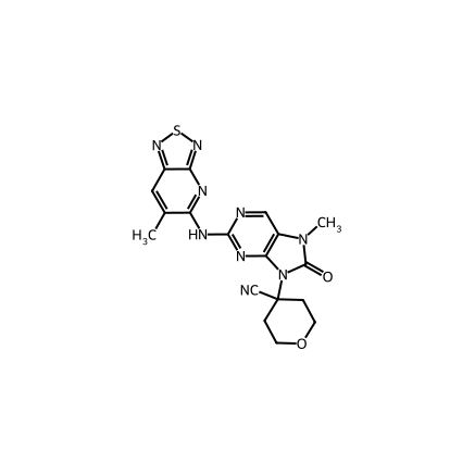 Cc1cc2nsnc2nc1Nc1ncc2c(n1)n(C1(C#N)CCOCC1)c(=O)n2C